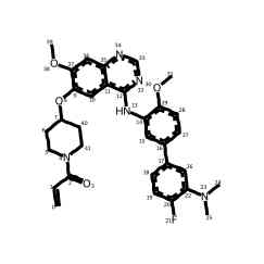 C=CC(=O)N1CCC(Oc2cc3c(Nc4cc(-c5ccc(F)c(N(C)C)c5)ccc4OC)ncnc3cc2OC)CC1